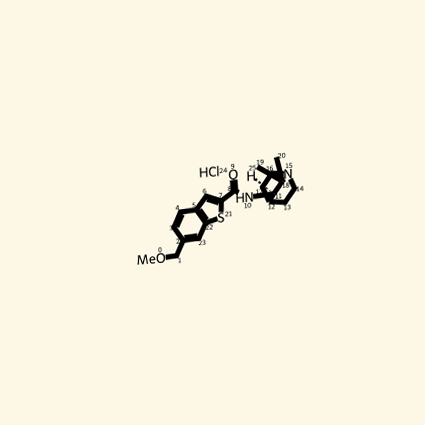 COCc1ccc2cc(C(=O)N[C@@H]3C4CCN(CC4)C3(C)C)sc2c1.Cl